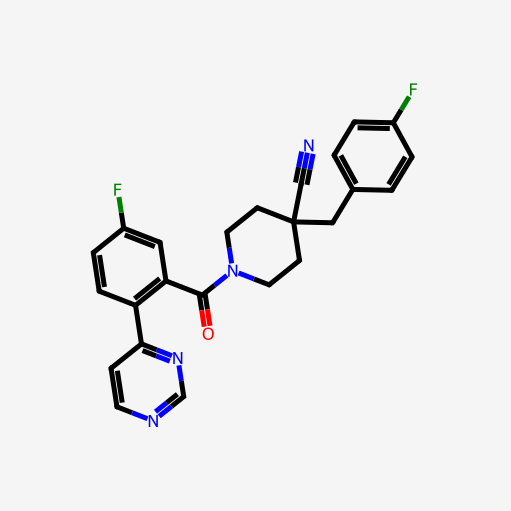 N#CC1(Cc2ccc(F)cc2)CCN(C(=O)c2cc(F)ccc2-c2ccncn2)CC1